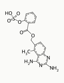 Cc1c(COC(=O)c2ccccc2OS(=O)(=O)O)ccc2nc(N)nc(N)c12